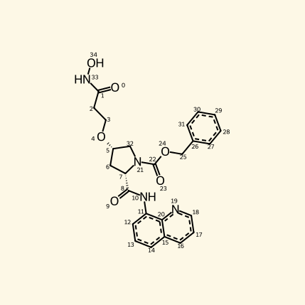 O=C(CCO[C@H]1C[C@@H](C(=O)Nc2cccc3cccnc23)N(C(=O)OCc2ccccc2)C1)NO